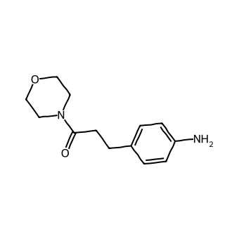 Nc1ccc(CCC(=O)N2CCOCC2)cc1